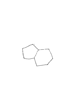 [CH]1CCCC2CC[CH]C12